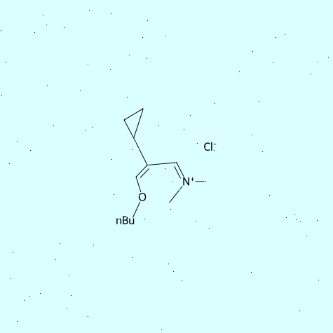 CCCCOC=C(C=[N+](C)C)C1CC1.[Cl-]